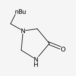 CCCCCN1CNC(=O)C1